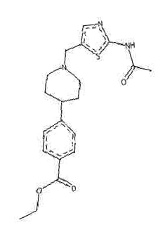 CCOC(=O)c1ccc(C2CCN(Cc3cnc(NC(C)=O)s3)CC2)cc1